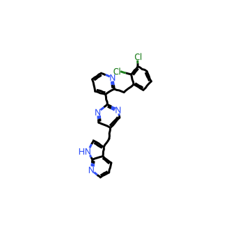 Clc1cccc(Cc2ncccc2-c2ncc(Cc3c[nH]c4ncccc34)cn2)c1Cl